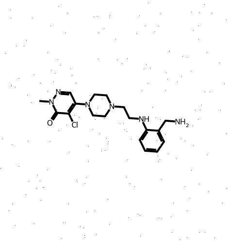 Cn1ncc(N2CCN(CCNc3ccccc3CN)CC2)c(Cl)c1=O